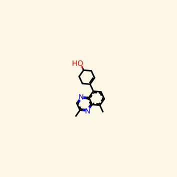 Cc1cnc2c(C3=CCC(O)CC3)ccc(C)c2n1